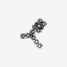 c1ccc(-c2ccc(-c3ccc(N(c4ccc(-c5ccccc5)cc4)c4ccc(-c5cccc6c5-c5ccccc5C65c6ccccc6C(c6ccccc6)(c6ccccc6)c6ccccc65)cc4)cc3)cc2)cc1